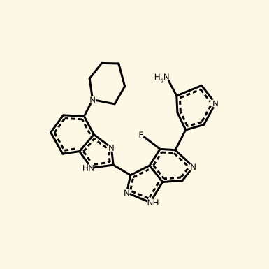 Nc1cncc(-c2ncc3[nH]nc(-c4nc5c(N6CCCCC6)cccc5[nH]4)c3c2F)c1